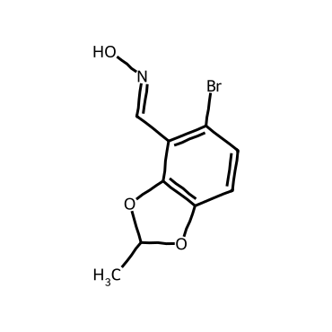 CC1Oc2ccc(Br)c(C=NO)c2O1